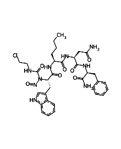 CCCC[C@H](NC(=O)[C@H](Cc1c[nH]c2ccccc12)N(N=O)C(=O)NCCCl)C(=O)N[C@@H](CC(N)=O)C(=O)N[C@@H](Cc1ccccc1)C(N)=O